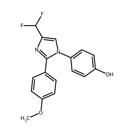 COc1ccc(-c2nc(C(F)F)cn2-c2ccc(O)cc2)cc1